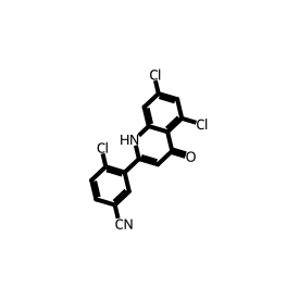 N#Cc1ccc(Cl)c(-c2cc(=O)c3c(Cl)cc(Cl)cc3[nH]2)c1